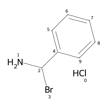 Cl.NC(Br)c1ccccc1